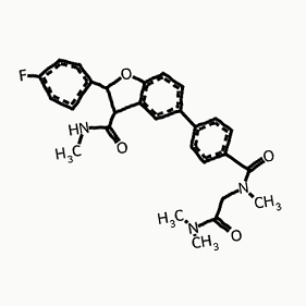 CNC(=O)C1c2cc(-c3ccc(C(=O)N(C)CC(=O)N(C)C)cc3)ccc2OC1c1ccc(F)cc1